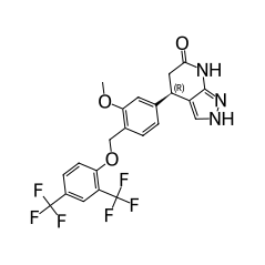 COc1cc([C@H]2CC(=O)Nc3n[nH]cc32)ccc1COc1ccc(C(F)(F)F)cc1C(F)(F)F